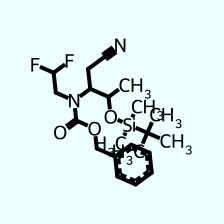 CC(O[Si](C)(C)C(C)(C)C)C(CC#N)N(CC(F)F)C(=O)OCc1ccccc1